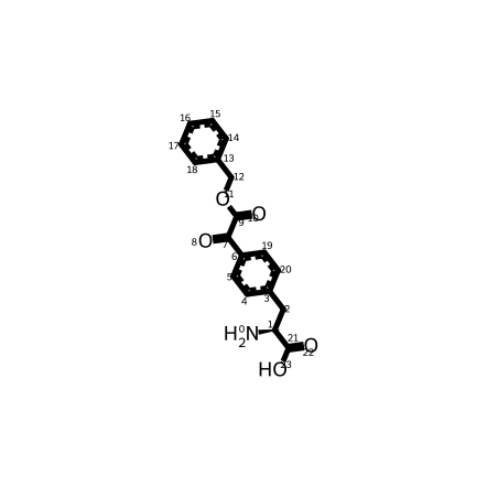 N[C@@H](Cc1ccc(C(=O)C(=O)OCc2ccccc2)cc1)C(=O)O